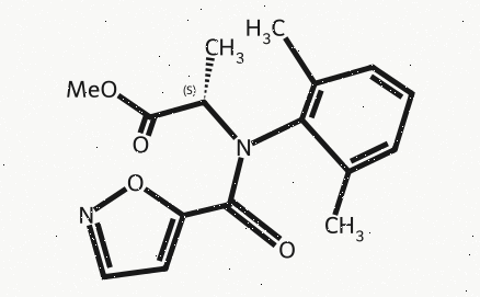 COC(=O)[C@H](C)N(C(=O)c1ccno1)c1c(C)cccc1C